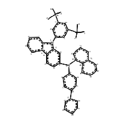 CC(C)(C)c1cc(-n2c3ccccc3c3ccc(N(c4ccc(-c5ccccc5)cc4)c4cccc5ccccc45)cc32)cc(C(C)(C)C)c1